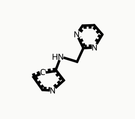 c1cnc(CNc2cccnc2)nc1